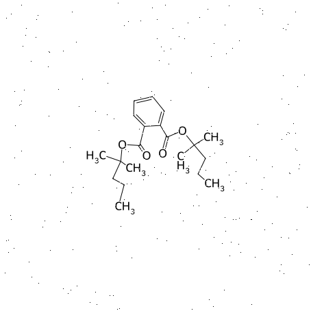 CCCC(C)(C)OC(=O)c1ccccc1C(=O)OC(C)(C)CCC